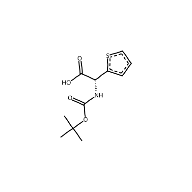 CC(C)(C)OC(=O)N[C@H](C(=O)O)c1cccs1